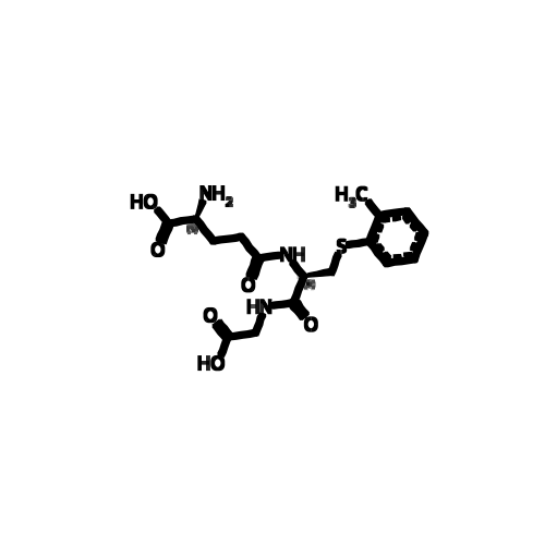 Cc1ccccc1SC[C@H](NC(=O)CC[C@H](N)C(=O)O)C(=O)NCC(=O)O